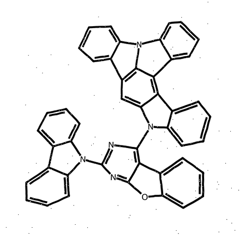 c1ccc2c(c1)oc1nc(-n3c4ccccc4c4ccccc43)nc(-n3c4ccccc4c4c5c6ccccc6n6c7ccccc7c(cc43)c56)c12